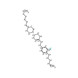 CCCCCC[C@H]1CC[C@H](C2CC=C(CCc3ccc(CCCCC)c(F)c3)CC2)CC1